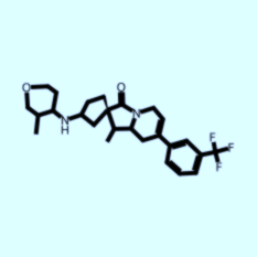 CC1COCCC1NC1CC[C@@]2(C1)C(=O)N1CC=C(c3cccc(C(F)(F)F)c3)CC1C2C